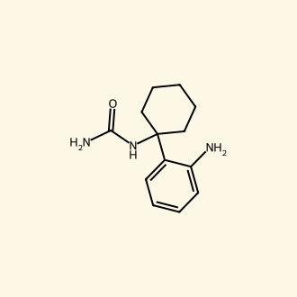 NC(=O)NC1(c2ccccc2N)CCCCC1